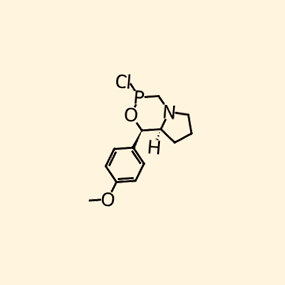 COc1ccc([C@H]2OP(Cl)CN3CCC[C@@H]23)cc1